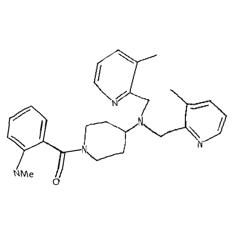 CNc1ccccc1C(=O)N1CCC(N(Cc2ncccc2C)Cc2ncccc2C)CC1